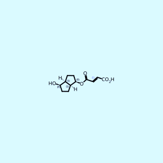 O=C(O)/C=C/C(=O)O[C@@H]1CC[C@H]2[C@@H]1CC[C@H]2O